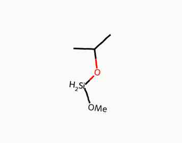 CO[SiH2]OC(C)C